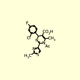 CC(=O)N1C(c2csc(C)n2)=NC(c2ccc(F)cc2Cl)C(C(=O)O)=C1C